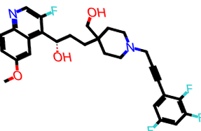 COc1ccc2ncc(F)c([C@@H](O)CCC3(CO)CCN(CC#Cc4cc(F)cc(F)c4F)CC3)c2c1